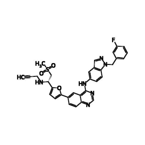 C#CCN[C@H](CS(C)(=O)=O)c1ccc(-c2ccc3ncnc(Nc4ccc5c(cnn5Cc5cccc(F)c5)c4)c3c2)o1